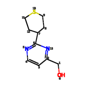 OCc1ccnc(C2CCSCC2)n1